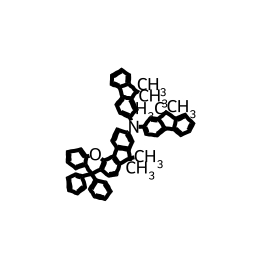 CC1(C)c2ccccc2-c2ccc(N(c3ccc4c(c3)C(C)(C)c3ccccc3-4)c3ccc4c(c3)C(C)(C)c3ccc5c(c3-4)Oc3ccccc3C5(c3ccccc3)c3ccccc3)cc21